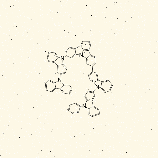 c1ccc(-n2c3ccccc3c3cc(-n4c5ccccc5c5cc(-c6ccc7c8cccc9c%10ccc(-n%11c%12ccccc%12c%12cc(-n%13c%14ccccc%14c%14ccccc%14%13)ccc%12%11)cc%10n(c7c6)c89)ccc54)ccc32)cc1